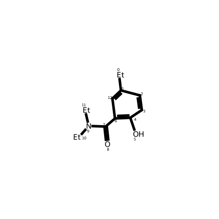 CCc1ccc(O)c(C(=O)N(CC)CC)c1